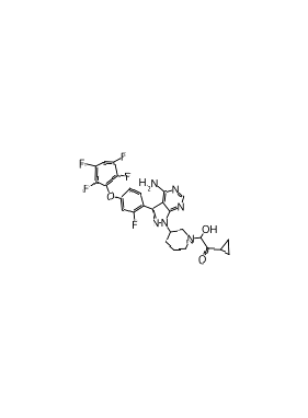 Nc1ncnc2c1c(-c1ccc(Oc3c(F)c(F)cc(F)c3F)cc1F)nn2C1CCCN(C(O)C(=O)C2CC2)C1